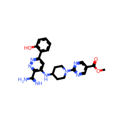 COC(=O)c1cnc(N2CCC(Nc3cc(-c4ccccc4O)nnc3C(=N)N)CC2)nc1